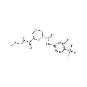 CCCNC(=O)N1CCC[C@H](C(=O)Nc2ccc(C(F)(F)F)c(F)c2)C1